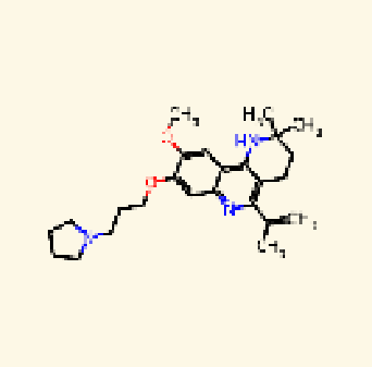 C=C(C)c1nc2cc(OCCCN3CCCC3)c(OC)cc2c2c1CCC(C)(C)N2